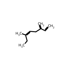 C=CC(=C)CC=C(C)CC